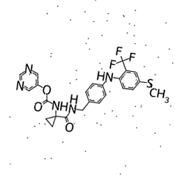 CSc1ccc(Nc2ccc(CNC(=O)C3(NC(=O)Oc4cncnc4)CC3)cc2)c(C(F)(F)F)c1